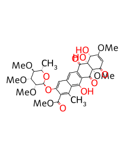 COC(=O)c1c(O[C@@H]2O[C@@H](C)[C@H](OC)[C@@H](OC)[C@H]2OC)cc2cc3c(c(O)c2c1C)C(=O)[C@]1(OC)C(=O)C=C(OC)[C@@H](O)[C@]1(O)C3=O